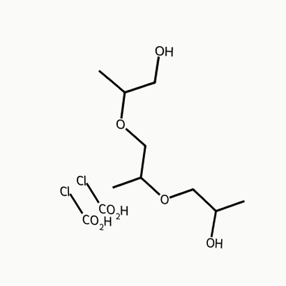 CC(O)COC(C)COC(C)CO.O=C(O)Cl.O=C(O)Cl